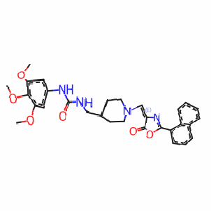 COc1cc(NC(=O)NCC2CCN(/C=C3/N=C(c4cccc5ccccc45)OC3=O)CC2)cc(OC)c1OC